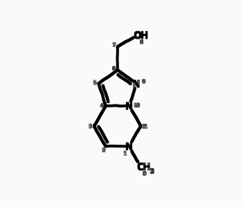 CN1C=Cc2cc(CO)nn2C1